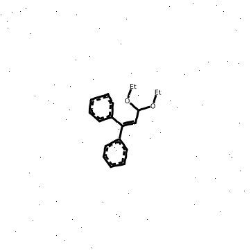 CCOC(C=C(c1ccccc1)c1ccccc1)OCC